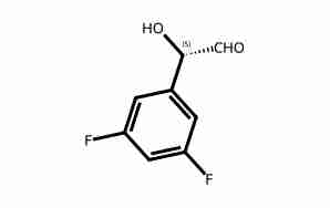 O=C[C@@H](O)c1cc(F)cc(F)c1